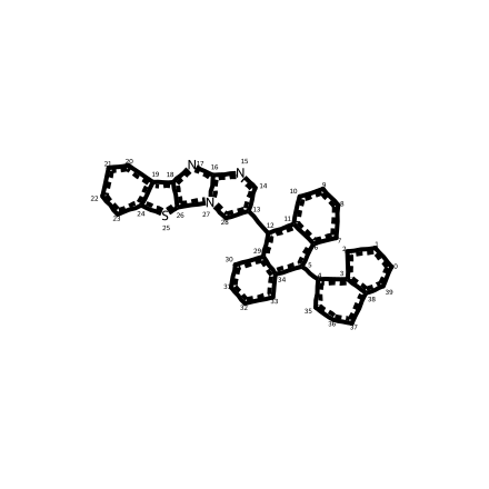 c1ccc2c(-c3c4ccccc4c(-c4cnc5nc6c7ccccc7sc6n5c4)c4ccccc34)cccc2c1